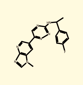 CC(Nc1ncc(-c2cnc3ncn(C)c3c2)nn1)c1ccc(F)cc1